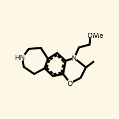 COCCN1c2cc3c(cc2OCC1C)CCNCC3